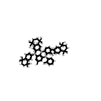 Cc1cc2c3c(c1)N(c1ccccc1C)c1c(ccc4c1sc1cc5c(cc14)C(C)(C)CCC5(C)C)B3c1cc3c(cc1N2c1ccc2c(c1)C(C)(C)CCC2(C)C)C(C)(C)CCC3(C)C